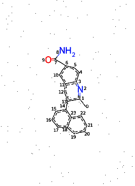 Cc1nc2ccc(C(N)=O)cc2cc1-c1cccc2ccccc12